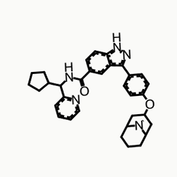 CN1C2CCCC1CC(Oc1ccc(-c3n[nH]c4ccc(C(=O)NC(c5ccccn5)C5CCCC5)cc34)cc1)C2